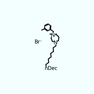 CCCCCCCCCCCCCCCCCCN1CCC[N+](C)(Cc2cccc(C)c2)CC1.[Br-]